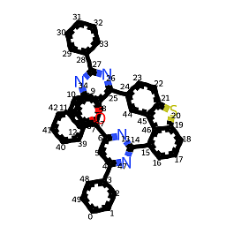 c1ccc(-c2cc(-c3ccccc3)nc(-c3cccc4sc5ccc(-c6nc(-c7ccccc7)nc7c6oc6ccccc67)cc5c34)n2)cc1